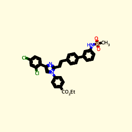 CCOC(=O)c1ccc(-n2cc(-c3ccc(Cl)cc3Cl)nc2C=Cc2ccc(-c3cccc(NS(C)(=O)=O)c3)cc2)cc1